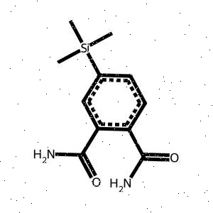 C[Si](C)(C)c1ccc(C(N)=O)c(C(N)=O)c1